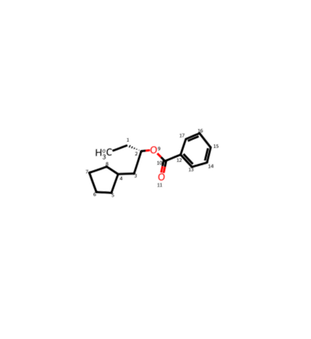 CC[C@@H](CC1CCCC1)OC(=O)c1ccccc1